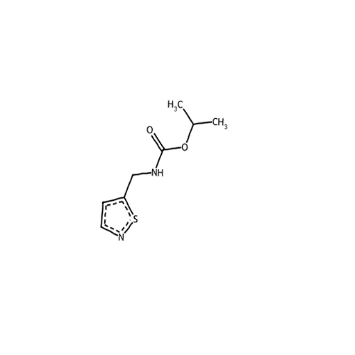 CC(C)OC(=O)NCc1ccns1